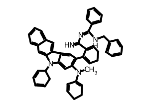 CN(C1=CCCC=C1)c1cc2c(cc1C1=CCCC=C1C(=N)/N=C(\NCc1ccccc1)c1ccccc1)c1cc3ccccc3cc1n2C1C=CC=CC1